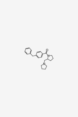 O=C(c1ccc(Cc2ccccc2)cc1)N1CCCC1CN1CCCC1